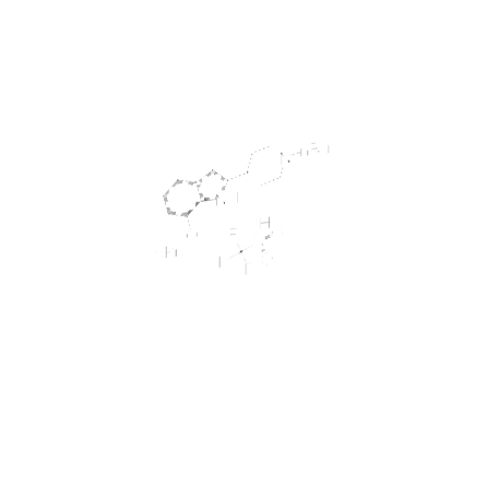 CCCCN1CCC(c2cc3cccc(OCCC)c3[nH]2)CC1.O=S(=O)(O)C(F)(F)F